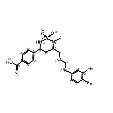 CN1C(COCNc2ccc(F)c(Cl)c2)CC(c2ccc(C(=O)O)cc2)NS1(=O)=O